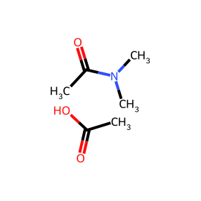 CC(=O)N(C)C.CC(=O)O